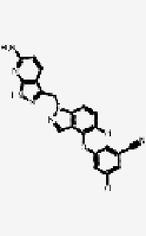 N#Cc1cc(Cl)cc(Oc2c(Cl)ccc3c2cnn3Cc2n[nH]c3nc(N)ccc23)c1